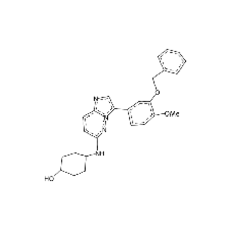 COc1ccc(-c2cnc3ccc(NC4CCC(O)CC4)nn23)cc1OCc1ccccc1